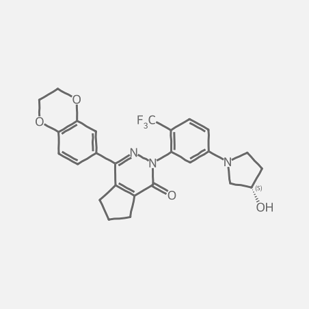 O=c1c2c(c(-c3ccc4c(c3)OCCO4)nn1-c1cc(N3CC[C@H](O)C3)ccc1C(F)(F)F)CCC2